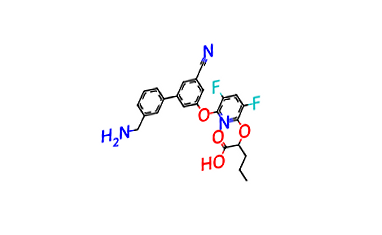 CCCC(Oc1nc(Oc2cc(C#N)cc(-c3cccc(CN)c3)c2)c(F)cc1F)C(=O)O